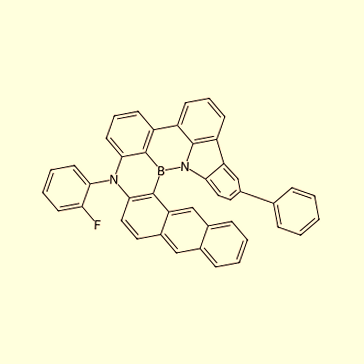 Fc1ccccc1N1c2cccc3c2B(c2c1ccc1cc4ccccc4cc21)n1c2ccc(-c4ccccc4)cc2c2cccc-3c21